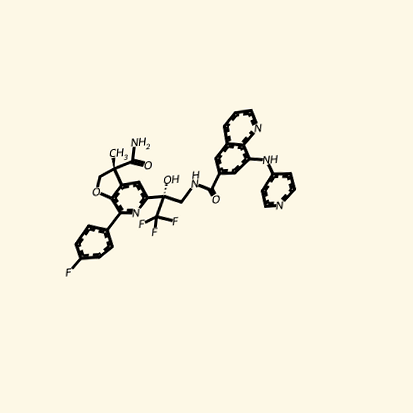 C[C@]1(C(N)=O)COc2c1cc([C@@](O)(CNC(=O)c1cc(Nc3ccncc3)c3ncccc3c1)C(F)(F)F)nc2-c1ccc(F)cc1